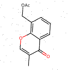 CC(=O)OCc1cccc2c(=O)c(C)coc12